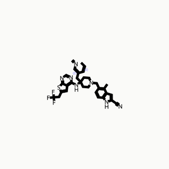 C=N/C=C(\C=C/C)CC1(Nc2ncnc3sc(CC(F)(F)F)cc23)CCN(Cc2ccc3[nH]c(C#N)cc3c2C)CC1